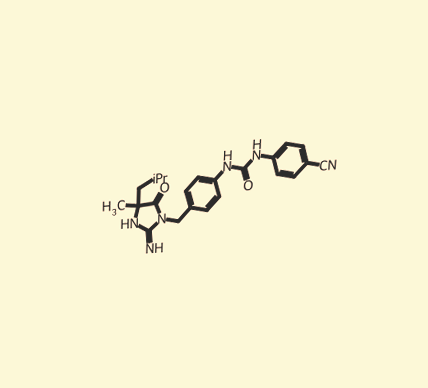 CC(C)CC1(C)NC(=N)N(Cc2ccc(NC(=O)Nc3ccc(C#N)cc3)cc2)C1=O